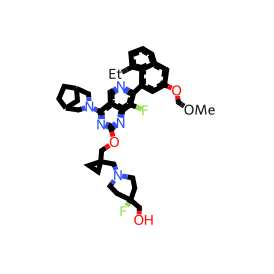 CCc1cccc2cc(OCOC)cc(-c3ncc4c(N5CC6CCC(C6)C5)nc(OCC5(CN6CCC(F)(CO)CC6)CC5)nc4c3F)c12